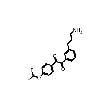 NCCCc1cccc(C(=O)C(=O)c2ccc(OC(F)F)cc2)c1